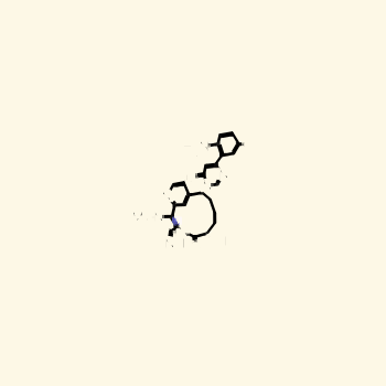 CN/C1=C(\C=N)NC(=O)C(C)CCCC(n2cnc(-c3cc(Cl)ccc3N)cc2=O)c2ccnc1c2